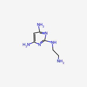 NCCNc1nc(N)cc(N)n1